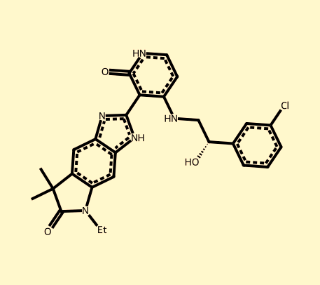 CCN1C(=O)C(C)(C)c2cc3nc(-c4c(NC[C@@H](O)c5cccc(Cl)c5)cc[nH]c4=O)[nH]c3cc21